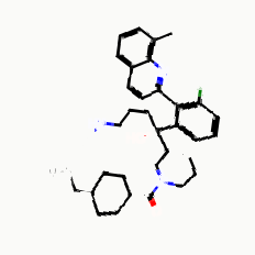 CNC[C@H]1CC[C@H](C(=O)N2CCC[C@@H]([C@@](O)(CCCNC(=O)O)c3cccc(Cl)c3-c3ccc4cccc(C)c4n3)C2)CC1